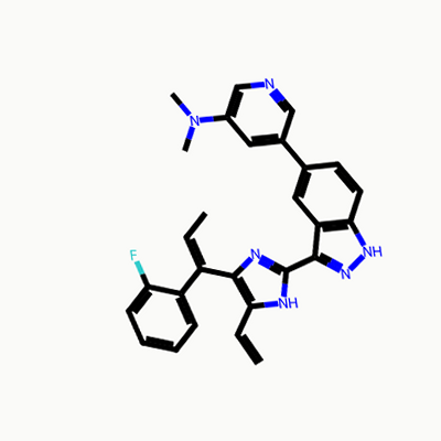 C=Cc1[nH]c(-c2n[nH]c3ccc(-c4cncc(N(C)C)c4)cc23)nc1/C(=C\C)c1ccccc1F